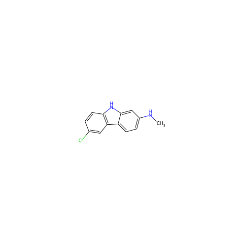 CNc1ccc2c(c1)[nH]c1ccc(Cl)cc12